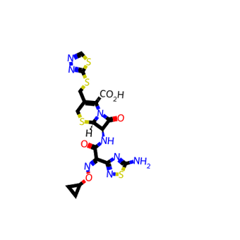 Nc1nc(/C(=N\OC2CC2)C(=O)N[C@@H]2C(=O)N3C(C(=O)O)=C(CSc4nncs4)CS[C@H]23)ns1